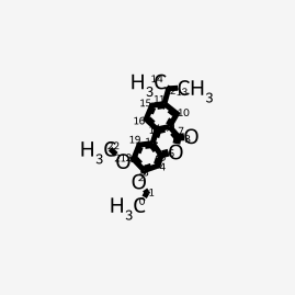 CCOc1cc2oc(=O)c3cc(C(C)C)ccc3c2cc1OC